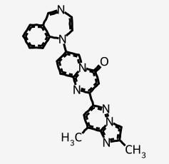 Cc1cn2nc(-c3cc(=O)n4cc(N5C=CN=Cc6ccccc65)ccc4n3)cc(C)c2n1